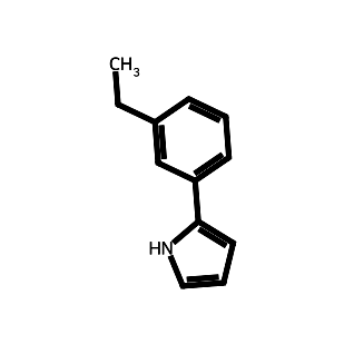 CCc1cccc(-c2ccc[nH]2)c1